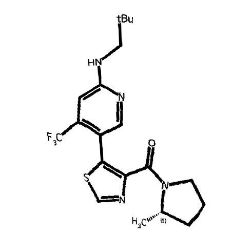 C[C@H]1CCCN1C(=O)c1ncsc1-c1cnc(NCC(C)(C)C)cc1C(F)(F)F